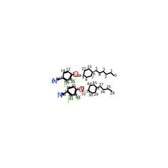 CCCCCC[C@H]1CC[C@H](COc2ccc(C#N)c(F)c2F)CC1.CCCC[C@H]1CC[C@H](COc2ccc(C#N)c(F)c2F)CC1